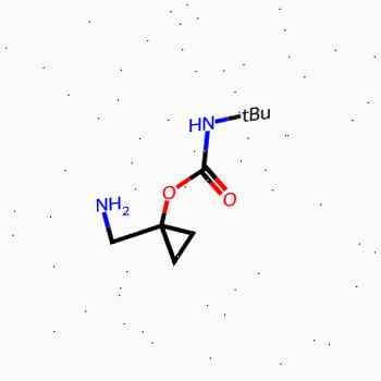 CC(C)(C)NC(=O)OC1(CN)CC1